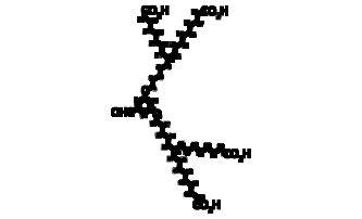 O=Cc1cc(OCCCCCC(CCCCCCCCC(=O)O)CCCCCCCC(=O)O)cc(OCCCCCC(CCCCCCCCC(=O)O)CCCCCCCC(=O)O)c1